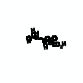 O=C(O)[C@@H](Oc1cccc2c(CCNC[C@H](O)c3cccnc3)c[nH]c12)c1ccccc1